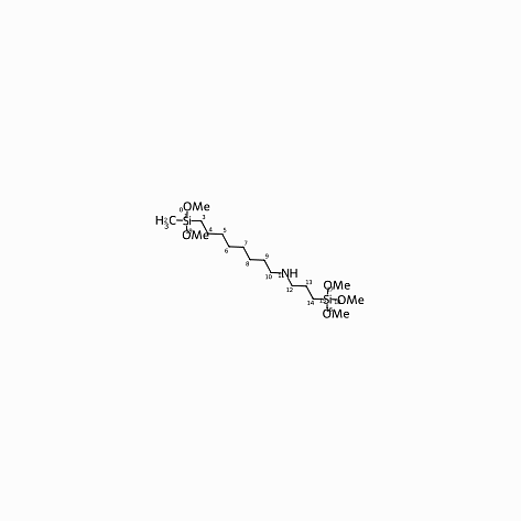 CO[Si](C)(CCCCCCCCNCCC[Si](OC)(OC)OC)OC